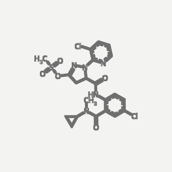 CN(C(=O)c1cc(Cl)ccc1NC(=O)C1CC(OS(C)(=O)=O)=NN1c1ncccc1Cl)C1CC1